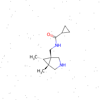 C[C@@H]1[C@]2(CNC(=O)C3CC3)CNC[C@]12C